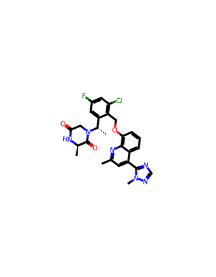 Cc1cc(-c2ncnn2C)c2cccc(OCc3c(Cl)cc(F)cc3[C@H](C)N3CC(=O)N[C@H](C)C3=O)c2n1